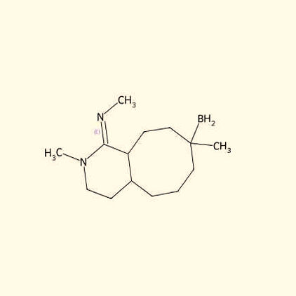 BC1(C)CCCC2CCN(C)/C(=N/C)C2CC1